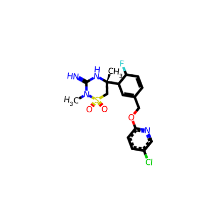 CN1C(=N)N[C@](C)(C2C=C(COc3ccc(Cl)cn3)C=CC2F)CS1(=O)=O